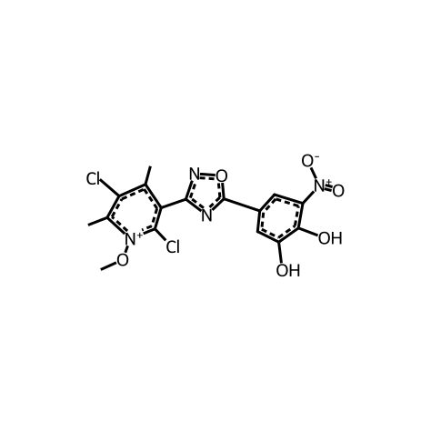 CO[n+]1c(C)c(Cl)c(C)c(-c2noc(-c3cc(O)c(O)c([N+](=O)[O-])c3)n2)c1Cl